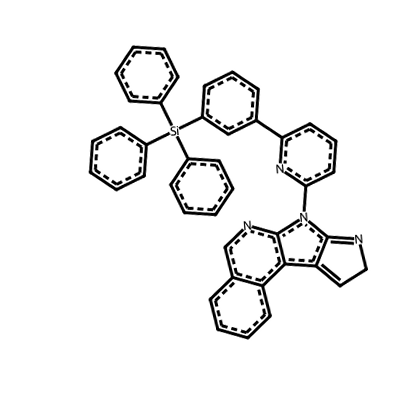 C1=c2c(n(-c3cccc(-c4cccc([Si](c5ccccc5)(c5ccccc5)c5ccccc5)c4)n3)c3ncc4ccccc4c23)=NC1